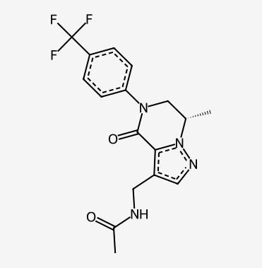 CC(=O)NCc1cnn2c1C(=O)N(c1ccc(C(F)(F)F)cc1)C[C@@H]2C